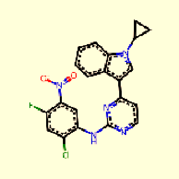 O=[N+]([O-])c1cc(Nc2nccc(-c3cn(C4CC4)c4ccccc34)n2)c(Cl)cc1F